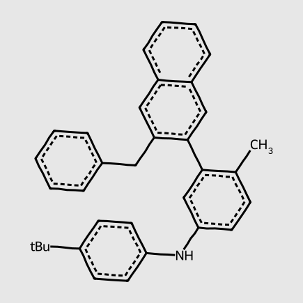 Cc1ccc(Nc2ccc(C(C)(C)C)cc2)cc1-c1cc2ccccc2cc1Cc1ccccc1